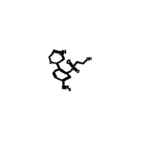 Nc1ccc(C2CNCCO2)c(S(=O)(=O)CCO)c1